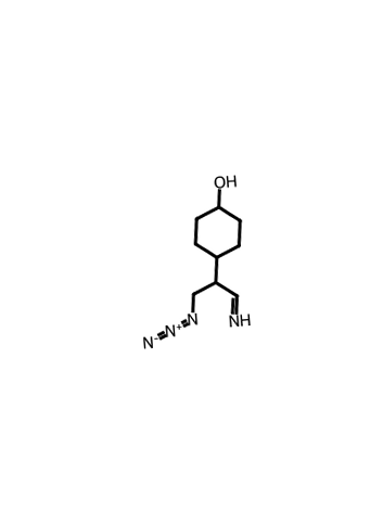 [N-]=[N+]=NCC(C=N)C1CCC(O)CC1